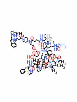 CCC(C)[C@@H]([C@@H](CC(=O)N1CCC[C@H]1[C@H](OC)[C@@H](C)C(=O)N[C@@H](Cc1ccccc1)c1nccs1)OC)N(C)C(=O)[C@@H](NC(=O)[C@H](C(C)C)N(C)C(=O)OCc1ccc(NC(=O)[C@H](CCCNC(N)=O)NC(=O)[C@@H](NC(=O)CCC(=O)N(CCOCCOCCC(=O)O)C2CCN(C(=O)CCn3c(CN(C)NC)cc4ccccc43)CC2)C(C)C)cc1)C(C)C